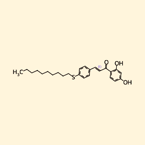 CCCCCCCCCCSc1ccc(/C=C/C(=O)c2ccc(O)cc2O)cc1